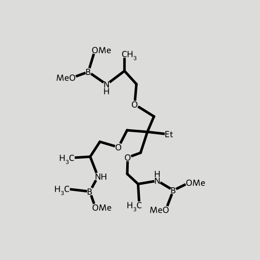 CCC(COCC(C)NB(C)OC)(COCC(C)NB(OC)OC)COCC(C)NB(OC)OC